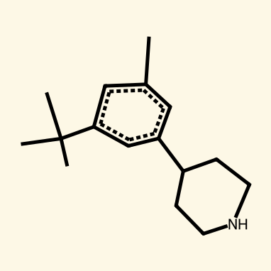 Cc1cc(C2CCNCC2)cc(C(C)(C)C)c1